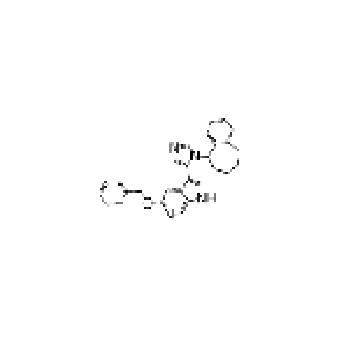 c1ccc(COc2cc3c(-c4cncn4C4CCCCc5ccccc54)c[nH]c3cn2)cc1